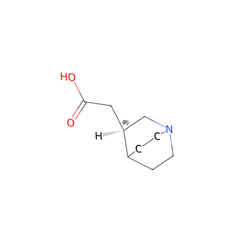 O=C(O)C[C@H]1CN2CCC1CC2